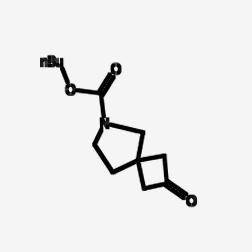 CCCCOC(=O)N1CCC2(CC(=O)C2)C1